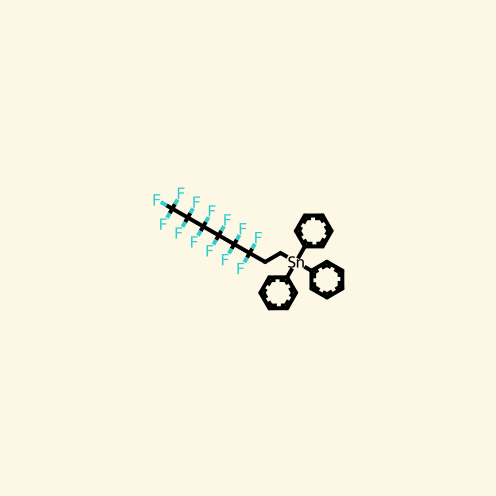 FC(F)(F)C(F)(F)C(F)(F)C(F)(F)C(F)(F)C(F)(F)C[CH2][Sn]([c]1ccccc1)([c]1ccccc1)[c]1ccccc1